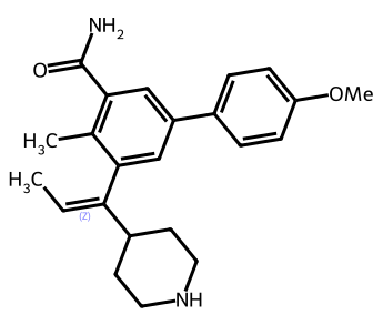 C/C=C(\c1cc(-c2ccc(OC)cc2)cc(C(N)=O)c1C)C1CCNCC1